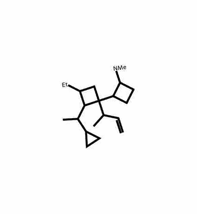 C=CC(C)C1(C2CCC2NC)CC(CC)C1C(C)C1CC1